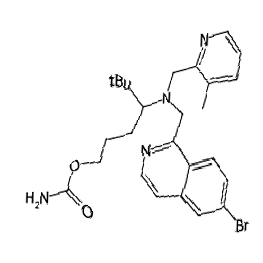 Cc1cccnc1CN(Cc1nccc2cc(Br)ccc12)C(CCCOC(N)=O)C(C)(C)C